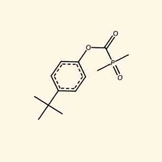 CC(C)(C)c1ccc(OC(=O)P(C)(C)=O)cc1